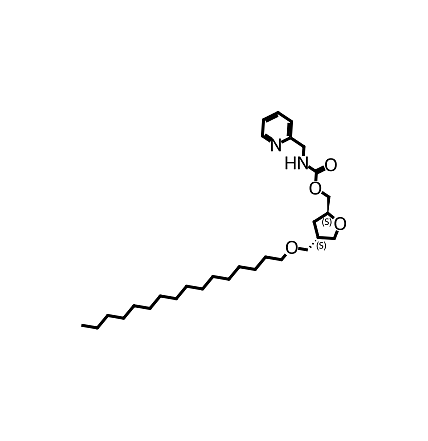 CCCCCCCCCCCCCCCCOC[C@H]1CO[C@H](COC(=O)NCc2ccccn2)C1